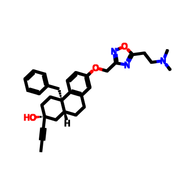 CC#C[C@@]1(O)CC[C@@]2(Cc3ccccc3)c3ccc(OCc4noc(CCN(C)C)n4)cc3CC[C@@H]2C1